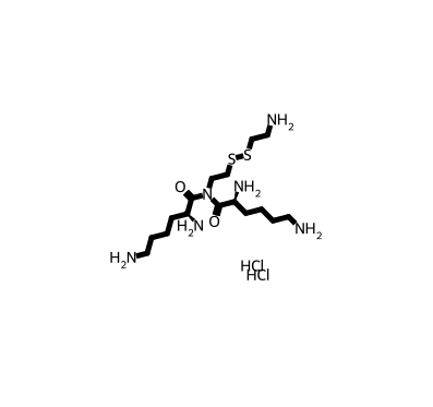 Cl.Cl.NCCCC[C@H](N)C(=O)N(CCSSCCN)C(=O)[C@@H](N)CCCCN